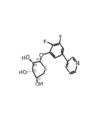 O[C@@H]1[C@@H](O)[C@@H](Oc2cc(-c3cccnc3)cc(F)c2F)SC[C@H]1O